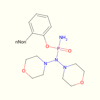 CCCCCCCCCc1ccccc1OP(N)(=O)N(N1CCOCC1)N1CCOCC1